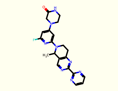 CC1c2cnc(-c3ncccn3)nc2CCN1c1cc(N2CCNC(=O)C2)cc(F)n1